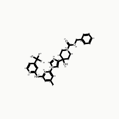 Cc1cc(Nc2cc(C(F)(F)F)ccn2)nc(-n2cnc(C3(O)CCN(C(=O)OCc4ccccc4)CC3)c2)c1